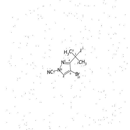 CC(C)(I)c1nn(C#N)cc1Br